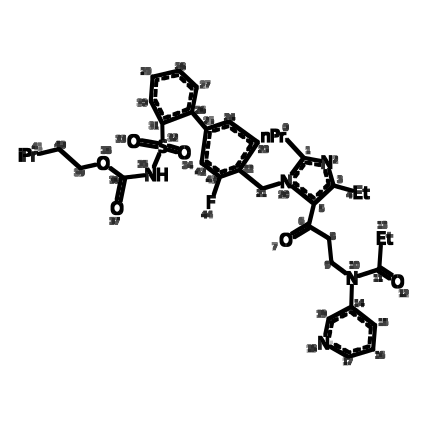 CCCc1nc(CC)c(C(=O)CCN(C(=O)CC)c2cccnc2)n1Cc1ccc(-c2ccccc2S(=O)(=O)NC(=O)OCCC(C)C)cc1F